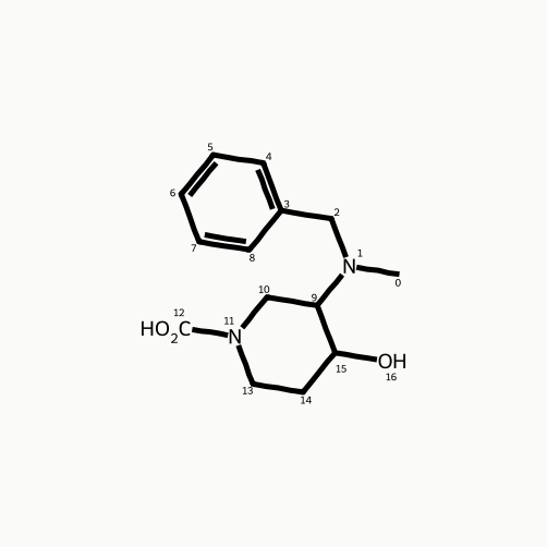 CN(Cc1ccccc1)C1CN(C(=O)O)CCC1O